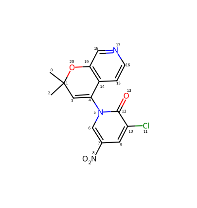 CC1(C)C=C(n2cc([N+](=O)[O-])cc(Cl)c2=O)c2ccncc2O1